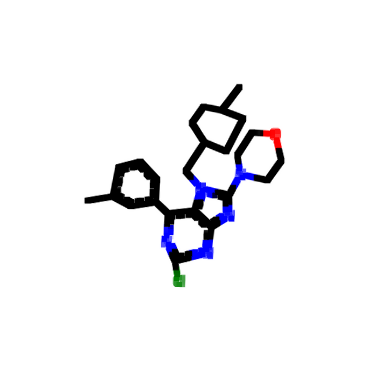 Cc1cccc(-c2nc(Cl)nc3nc(N4CCOCC4)n(CC4CCC(C)CC4)c23)c1